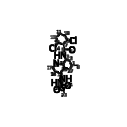 Cc1cc(NC(=O)c2c(Cl)cccc2Cl)c2nccc(NNS(C)(=O)=O)c2c1